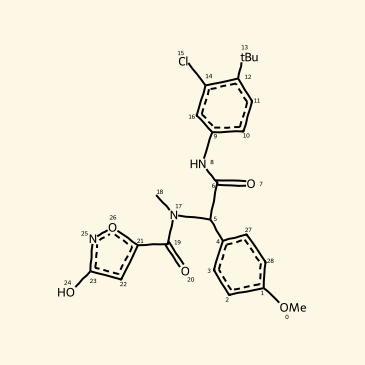 COc1ccc(C(C(=O)Nc2ccc(C(C)(C)C)c(Cl)c2)N(C)C(=O)c2cc(O)no2)cc1